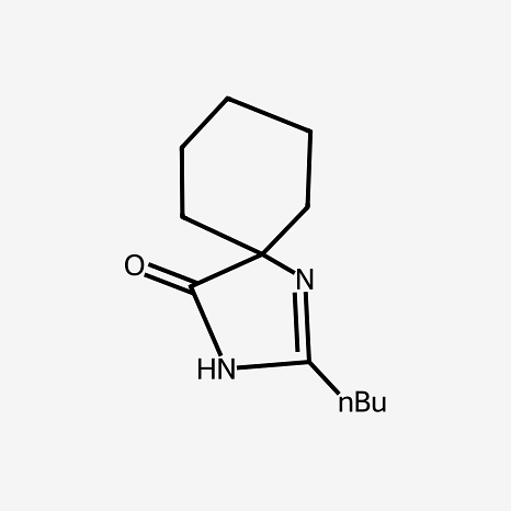 CCCCC1=NC2(CCCCC2)C(=O)N1